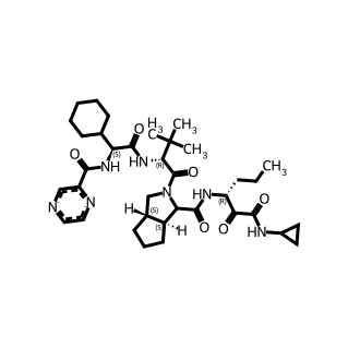 CCC[C@@H](NC(=O)C1[C@H]2CCC[C@@H]2CN1C(=O)[C@H](NC(=O)[C@@H](NC(=O)c1cnccn1)C1CCCCC1)C(C)(C)C)C(=O)C(=O)NC1CC1